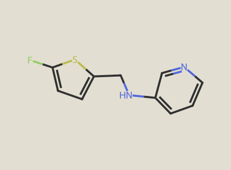 Fc1ccc(CNc2cccnc2)s1